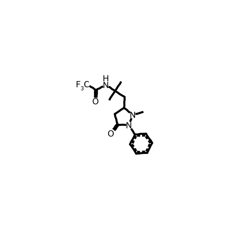 CN1C(CC(C)(C)NC(=O)C(F)(F)F)CC(=O)N1c1ccccc1